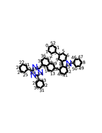 c1ccc(-c2ccc3c(c2)c2c(-c4ccc5c(-c6nc(-c7ccccc7)nc(-c7ccccc7)n6)cccc5c4)cccc2n3-c2ccccc2)cc1